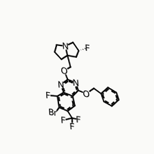 Fc1c(Br)c(C(F)(F)F)cc2c(OCc3ccccc3)nc(OCC34CCCN3C[C@H](F)C4)nc12